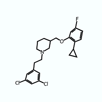 Fc1ccc(C2CC2)c(OCC2CCCN(CCc3cc(Cl)cc(Cl)c3)C2)c1